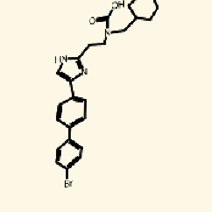 O=C(O)N(CCc1nc(-c2ccc(-c3ccc(Br)cc3)cc2)c[nH]1)CC1CCCCC1